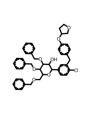 OC1C(c2ccc(Cl)c(Cc3ccc(OC4CCOC4)cc3)c2)OC(COCc2ccccc2)C(OCc2ccccc2)C1OCc1ccccc1